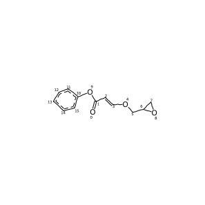 O=C(C=COCC1CO1)Oc1ccccc1